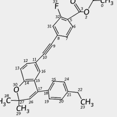 CCOC(=O)c1ccc(C#Cc2ccc3c(c2)C(c2ccc(CC)cc2)=CC(C)(C)O3)cc1F